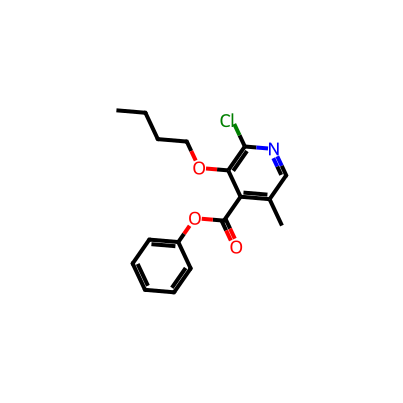 CCCCOc1c(Cl)ncc(C)c1C(=O)Oc1ccccc1